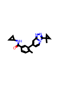 Cc1ccc(C(=O)NC2CC2)cc1-c1ccn2c(C3(C)CC3)nnc2c1